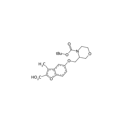 Cc1c(C(=O)O)oc2ccc(OCC3COCCN3C(=O)OC(C)(C)C)cc12